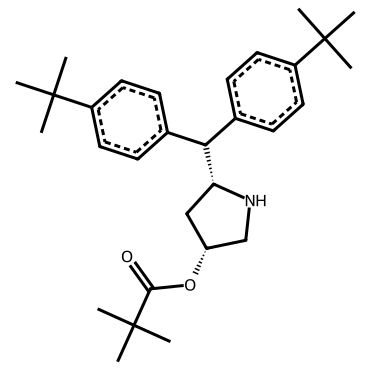 CC(C)(C)C(=O)O[C@H]1CN[C@@H](C(c2ccc(C(C)(C)C)cc2)c2ccc(C(C)(C)C)cc2)C1